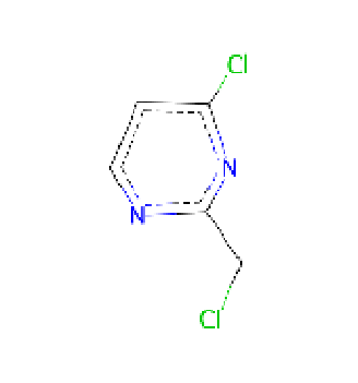 ClCc1nccc(Cl)n1